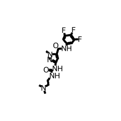 CN(C)CCNC(=O)Nc1cc(C(=O)Nc2cc(F)c(F)c(F)c2)n(C)n1